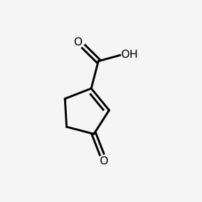 O=C1C=C(C(=O)O)CC1